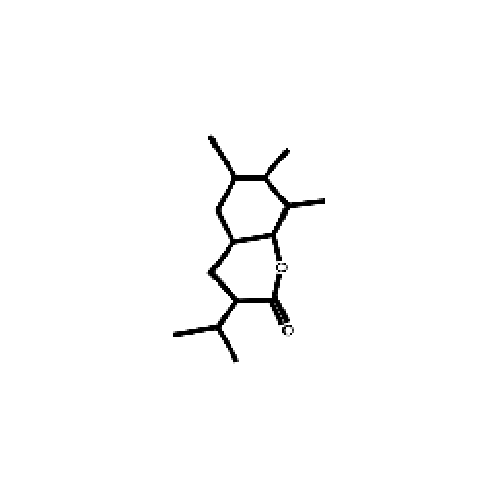 CC(C)C1CC2CC(C)C(C)C(C)C2OC1=O